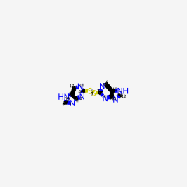 c1nc2nc(SSc3ncc4[nH]cnc4n3)ncc2[nH]1